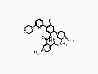 C[C@H]1CN(c2cc(F)c(-c3cccc(N4CCOCC4)n3)cc2NC(=O)C2=CN(C)CC=C2C(F)F)CCN1C